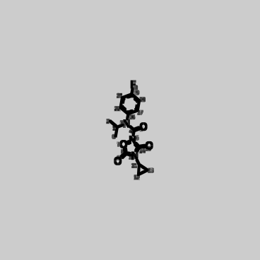 CC(C)N(C(=O)n1oc(=O)n(C2CC2)c1=O)c1ccc(F)cc1